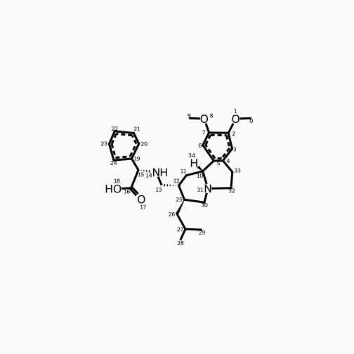 COc1cc2c(cc1OC)[C@H]1C[C@@H](CN[C@H](C(=O)O)c3ccccc3)[C@H](CC(C)C)CN1CC2